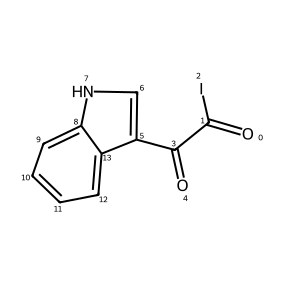 O=C(I)C(=O)c1c[nH]c2ccccc12